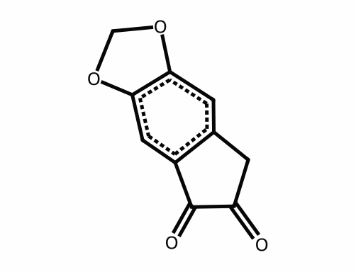 O=C1Cc2cc3c(cc2C1=O)OCO3